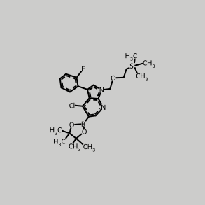 CC1(C)OB(c2cnc3c(c(-c4ccccc4F)cn3COCC[Si](C)(C)C)c2Cl)OC1(C)C